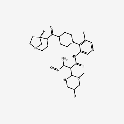 CN1CC(F)CNC1C(C(=O)Nc1cncc(F)c1N1CCC(C(=O)N2CCN3CC[C@H]2C3)CC1)C(N)N=O